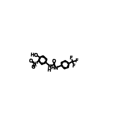 O=C(Nc1ccc(C(F)(F)F)cc1)Nc1ccc(O)c([N+](=O)[O-])c1